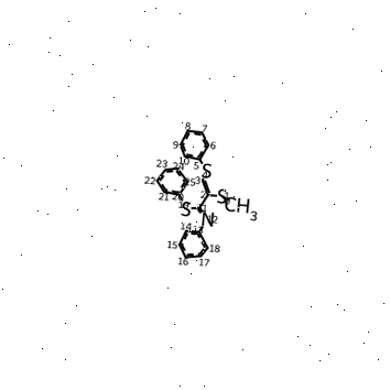 CSC(=CSc1ccccc1)C(=Nc1ccccc1)Sc1ccccc1